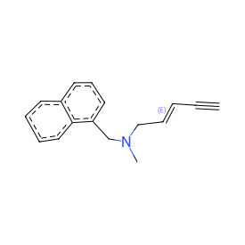 C#C/C=C/CN(C)Cc1cccc2ccccc12